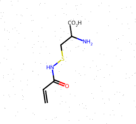 C=CC(=O)NSCC(N)C(=O)O